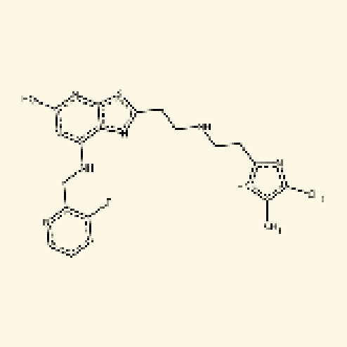 Cc1nc(CCNCCc2nc3c(NCc4ncccc4F)nc(O)nc3s2)[nH]c1C